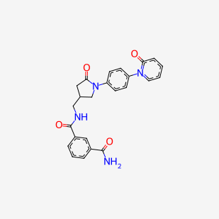 NC(=O)c1cccc(C(=O)NCC2CC(=O)N(c3ccc(-n4ccccc4=O)cc3)C2)c1